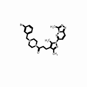 Cc1nn(-c2ccc3nnc(C)n3n2)c(C)c1CCC(=O)N1CCN(Cc2cccc(Br)c2)CC1